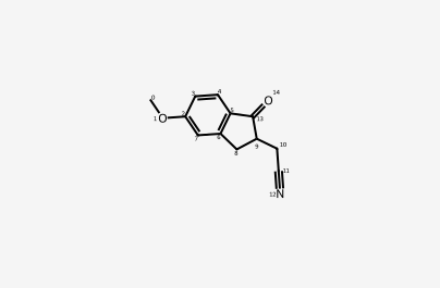 COc1ccc2c(c1)CC(CC#N)C2=O